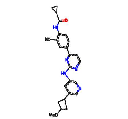 COC1CC(c2cncc(Nc3nccc(-c4ccc(NC(=O)C5CC5)c(C#N)c4)n3)c2)C1